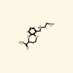 NC(=O)C1CCOc2c(CNCCO)c[c]cc2O1